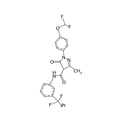 CC1=NN(c2ccc(OC(F)F)cc2)C(=O)C1C(=O)Nc1cccc(C(F)(F)C(C)C)c1